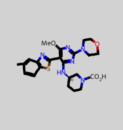 COc1nc(N2CCOCC2)nc(N[C@@H]2CCCN(C(=O)O)C2)c1-c1nc2cc(C)ccc2s1